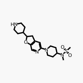 CN(C1CCN(c2cc3c(cn2)OC(C2CCNCC2)C3)CC1)S(C)(=O)=O